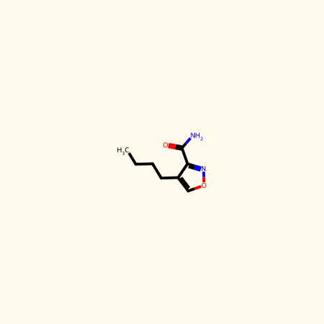 CCCCc1conc1C(N)=O